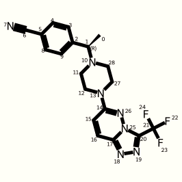 C[C@H](c1ccc(C#N)cc1)N1CCN(c2ccc3nnc(C(F)(F)F)n3n2)CC1